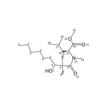 CCCCCCC(O)C(F)(F)C(=O)N(C)[C@@H](CC(C)C)C(=O)OC